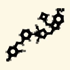 O=C(O)c1ccc2nc(CN3C[C@@H]4[C@H](C3)[C@H]4c3cccc(OCc4ccc(Cl)cc4F)n3)n(C[C@@H]3CCO3)c2c1